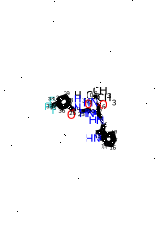 CC(C)(C)NC(=O)C(CNCc1c[nH]c2ccccc12)NC(=O)CNC(=O)c1cccc(C(F)(F)F)c1